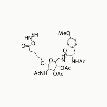 COc1ccc(CC(NC(C)=O)C(=O)NCC2O[C@@H](OCCCCC(=O)ONS)C(NC(C)=O)C(OC(C)=O)[C@H]2OC(C)=O)cc1